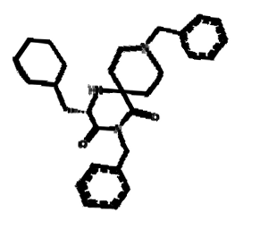 O=C1[C@H](CC2CCCCC2)NC2(CCN(Cc3ccccc3)CC2)C(=O)N1Cc1ccccc1